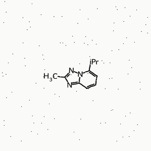 Cc1nc2cccc(C(C)C)n2n1